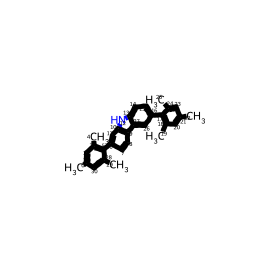 Cc1cc(C)c(-c2ccc3c(c2)[nH]c2ccc(-c4c(C)cc(C)cc4C)cc23)c(C)c1